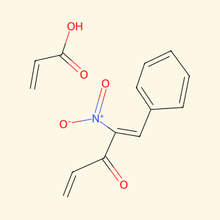 C=CC(=O)C(=Cc1ccccc1)[N+](=O)[O-].C=CC(=O)O